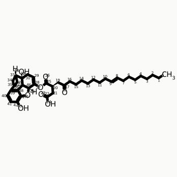 CCCCCCCC/C=C/CCCCCCCC(=O)C[C@@H](CC(=O)O)C(=O)OC1=CC[C@]2(O)[C@H]3CCC[C@]24c2c(ccc(O)c2O[C@H]14)C3